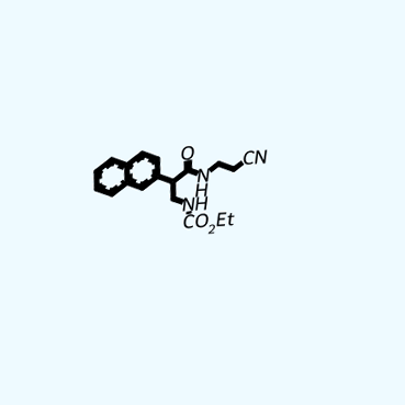 CCOC(=O)NCC(C(=O)NCCC#N)c1ccc2ccccc2c1